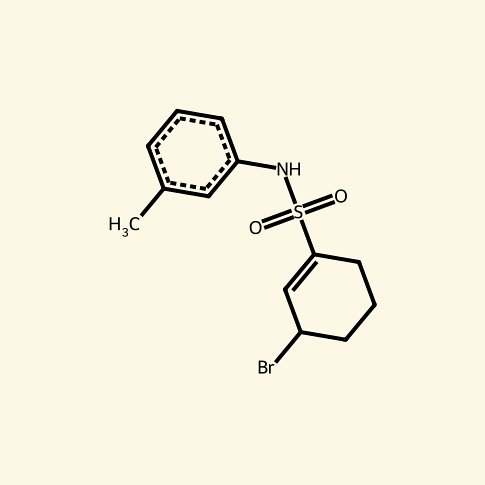 Cc1cccc(NS(=O)(=O)C2=CC(Br)CCC2)c1